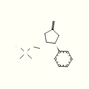 C=C1C[C@@H](CO[Si](C)(C)C(C)(C)C)[C@H](c2ccccc2)C1